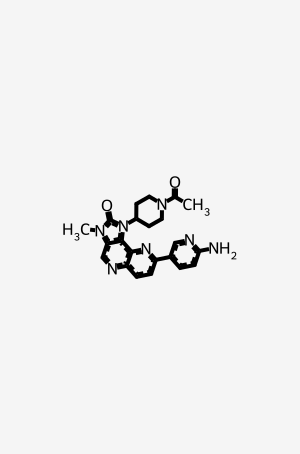 CC(=O)N1CCC(n2c(=O)n(C)c3cnc4ccc(-c5ccc(N)nc5)nc4c32)CC1